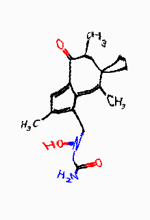 CC1=C(CN(O)C(N)=O)C2=C(C)C3(CC3)[C@H](C)C(=O)C2=C1